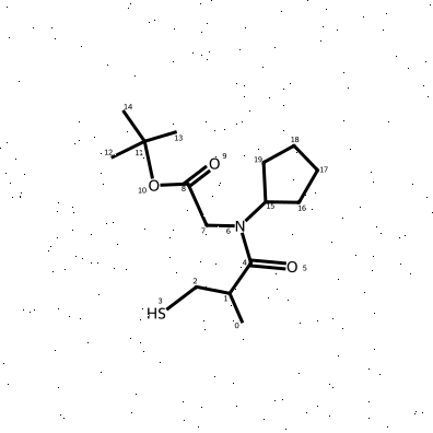 CC(CS)C(=O)N(CC(=O)OC(C)(C)C)C1CCCC1